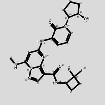 CNc1cc(Nc2cccn([C@H]3CCC[C@H]3O)c2=O)nc2c(C(=O)NC3CCC3(F)F)cnn12